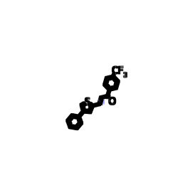 O=C(/C=C/c1cc(-c2ccccc2)cs1)c1ccc(C(F)(F)F)cc1